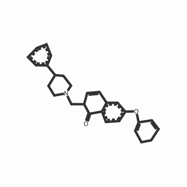 O=C1c2ccc(OC3=CCCC=C3)cc2C=CC1CN1CCC(c2ccccc2)CC1